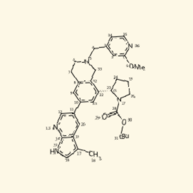 COc1cc(CN2CCc3cc(-c4cnc5[nH]cc(C)c5c4)cc([C@@H]4CCCN4C(=O)OC(C)(C)C)c3C2)ccn1